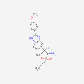 CCCS(=O)(=O)C(N)C(C)(C)c1ccc2[nH]c(-c3ccc(OC)cc3)nc2c1